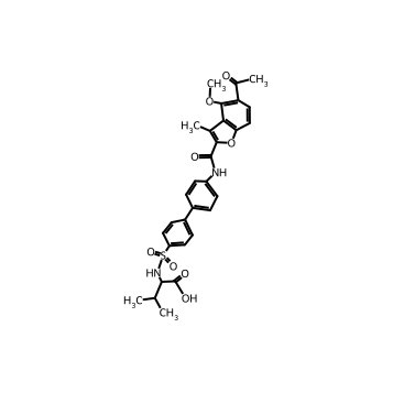 COc1c(C(C)=O)ccc2oc(C(=O)Nc3ccc(-c4ccc(S(=O)(=O)NC(C(=O)O)C(C)C)cc4)cc3)c(C)c12